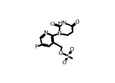 CS(=O)(=O)OCc1cc(F)cnc1N1CCC(=O)NC1=O